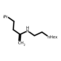 C=C(CCC(C)C)NCCCCCCCC